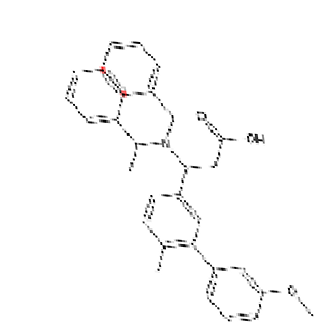 COc1cccc(-c2cc(C(CC(=O)O)N(Cc3ccccc3)C(C)c3ccccc3)ccc2C)c1